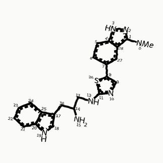 CNc1n[nH]c2ccc(-c3cnc(NCC(N)Cc4c[nH]c5ccccc45)s3)cc12